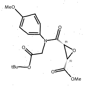 COC(=O)[C@H]1O[C@H]1C(=O)N(CC(=O)OC(C)(C)C)c1ccc(OC)cc1